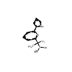 CCCP(CCC)C(C)(C)c1cccc(-c2ccc[nH]2)n1